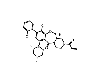 C=CC(=O)N1CCN2C(=O)c3c(N4CCN(C)C[C@@H]4C)nc(-c4ccccc4Cl)c(Cl)c3OC[C@H]2C1